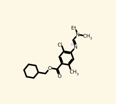 CCN(C)/C=N/c1cc(C)c(C(=O)OCC2CCCCC2)cc1Cl